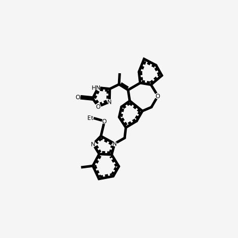 CCOc1nc2c(C)cccc2n1Cc1ccc2c(c1)COc1ccccc1/C2=C(\C)c1noc(=O)[nH]1